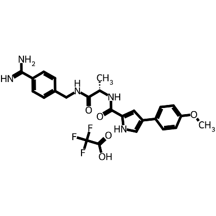 COc1ccc(-c2c[nH]c(C(=O)N[C@@H](C)C(=O)NCc3ccc(C(=N)N)cc3)c2)cc1.O=C(O)C(F)(F)F